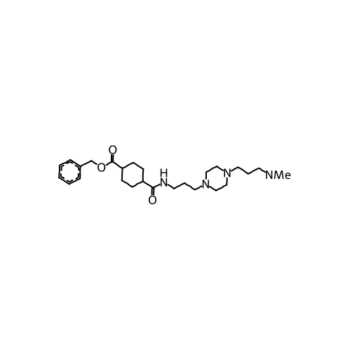 CNCCCN1CCN(CCCNC(=O)C2CCC(C(=O)OCc3ccccc3)CC2)CC1